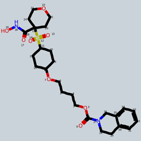 O=C(OCCCCOC1CCC(S(=O)(=O)C2(C(=O)NO)CCOCC2)CC1)N1CCc2ccccc2C1